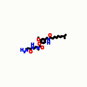 COc1cc(CNC(=O)CCCCC=CC(C)C)ccc1OC(=O)N(C)CCNC(=O)CN